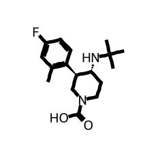 Cc1cc(F)ccc1[C@@H]1CN(C(=O)O)CC[C@H]1NC(C)(C)C